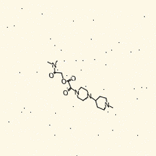 CN1CCC(N2CCN(C(=O)C(=O)OCC(=O)N(C)C)CC2)CC1